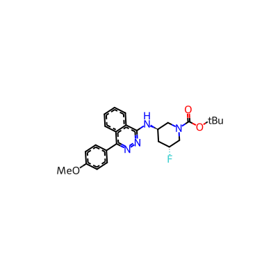 COc1ccc(-c2nnc(N[C@@H]3C[C@@H](F)CN(C(=O)OC(C)(C)C)C3)c3ccccc23)cc1